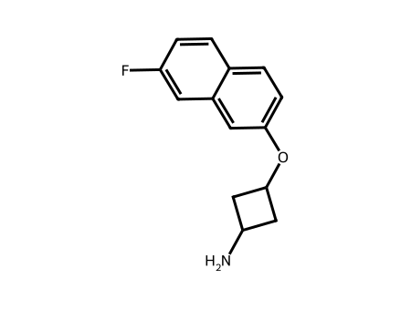 NC1CC(Oc2ccc3ccc(F)cc3c2)C1